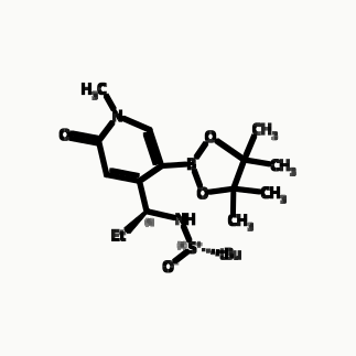 CC[C@H](N[S@@+]([O-])C(C)(C)C)c1cc(=O)n(C)cc1B1OC(C)(C)C(C)(C)O1